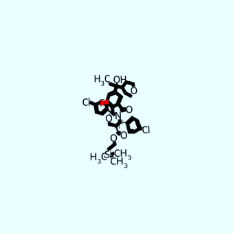 CC[C@@](O)(c1cc(F)c2c(c1)C(=O)N1[C@H](c3ccc(Cl)cc3)[C@@H](C(=O)OCC[Si](C)(C)C)CO[C@]21c1ccc(Cl)cc1)C1CCOCC1